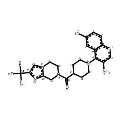 Nc1cnc2ccc(Cl)cc2c1N1CCC(C(=O)N2CCn3cc(C(F)(F)F)nc3C2)CC1